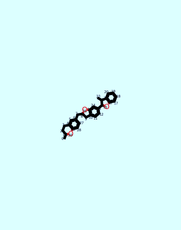 CC1CCc2cc(CC3Cc4ccc(C5Oc6ccccc6C5C)cc4O3)ccc2O1